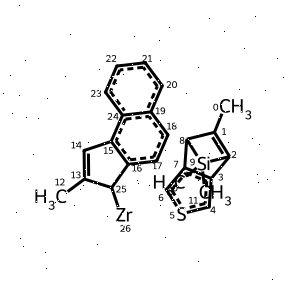 CC1=C2c3cscc3C1[Si]2(C)C.CC1=Cc2c(ccc3ccccc23)[CH]1[Zr]